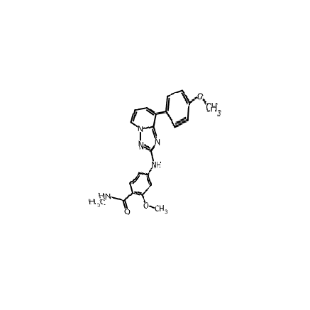 CNC(=O)c1ccc(Nc2nc3c(-c4ccc(OC)cc4)cccn3n2)cc1OC